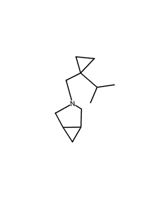 CC(C)C1(CN2CC3CC3C2)CC1